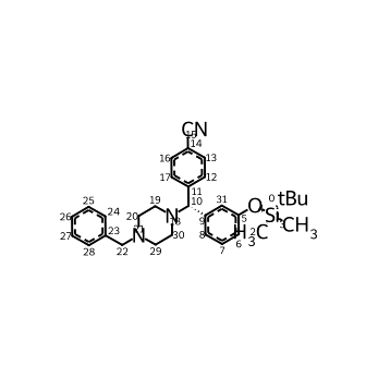 CC(C)(C)[Si](C)(C)Oc1cccc([C@@H](c2ccc(C#N)cc2)N2CCN(Cc3ccccc3)CC2)c1